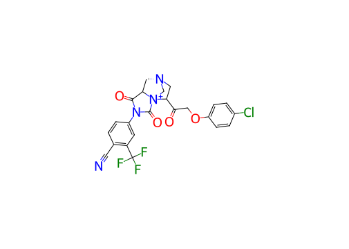 N#Cc1ccc(N2C(=O)C3C[N@]4CC(C(=O)COc5ccc(Cl)cc5)[N+]3(C4)C2=O)cc1C(F)(F)F